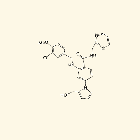 COc1ccc(CNc2cc(-n3cccc3CO)ccc2C(=O)NCc2ncccn2)cc1Cl